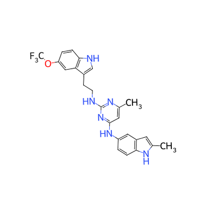 Cc1cc(Nc2ccc3[nH]c(C)cc3c2)nc(NCCc2c[nH]c3ccc(OC(F)(F)F)cc23)n1